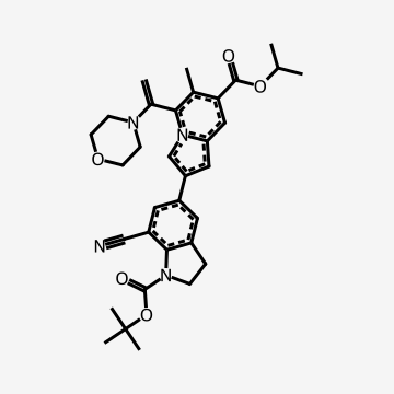 C=C(c1c(C)c(C(=O)OC(C)C)cc2cc(-c3cc(C#N)c4c(c3)CCN4C(=O)OC(C)(C)C)cn12)N1CCOCC1